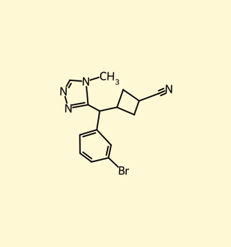 Cn1cnnc1C(c1cccc(Br)c1)C1CC(C#N)C1